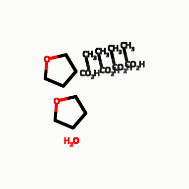 C1CCOC1.C1CCOC1.CC(=O)O.CC(=O)O.CC(=O)O.CC(=O)O.O